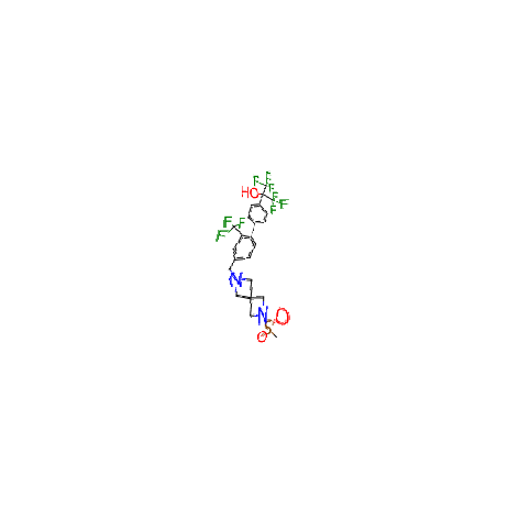 CS(=O)(=O)N1CC2(CN(Cc3ccc(-c4ccc(C(O)(C(F)(F)F)C(F)(F)F)cc4)c(C(F)(F)F)c3)C2)C1